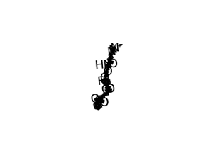 [N-]=[N+]=NCCCCC(=O)NCCOCCOc1ccc(C2OCC(CCCCN3C(=O)c4ccccc4C3=O)O2)cc1F